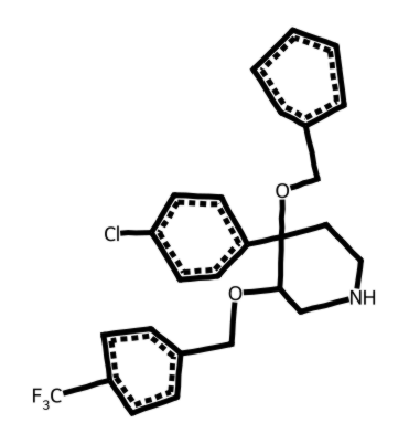 FC(F)(F)c1ccc(COC2CNCCC2(OCc2ccccc2)c2ccc(Cl)cc2)cc1